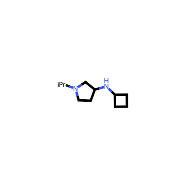 CC(C)N1CCC(NC2CCC2)C1